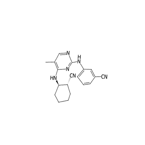 Cc1cnc(Nc2cccc(C#N)c2)nc1N[C@@H]1CCCC[C@H]1C#N